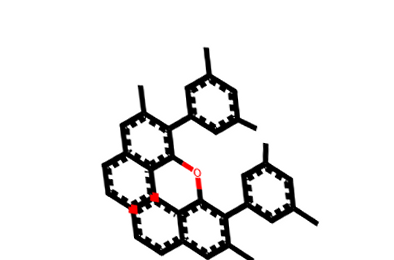 Cc1cc(C)cc(-c2c(C)cc3ccccc3c2Oc2c(-c3cc(C)cc(C)c3)c(C)cc3ccccc23)c1